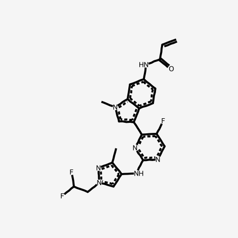 C=CC(=O)Nc1ccc2c(-c3nc(Nc4cn(CC(F)F)nc4C)ncc3F)cn(C)c2c1